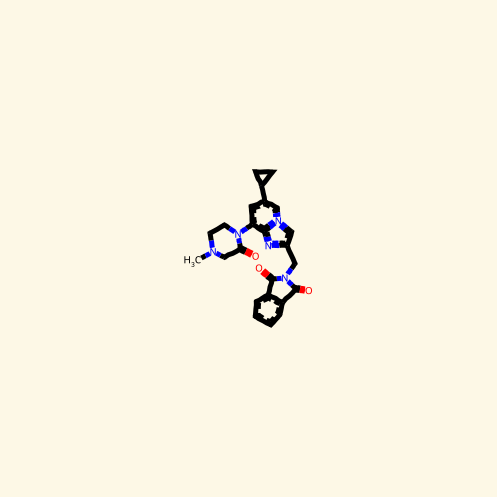 CN1CCN(c2cc(C3CC3)cn3cc(CN4C(=O)c5ccccc5C4=O)nc23)C(=O)C1